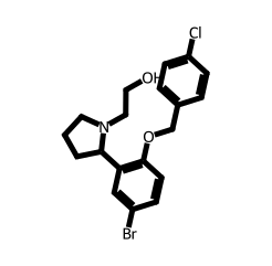 OCCN1CCCC1c1cc(Br)ccc1OCc1ccc(Cl)cc1